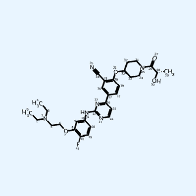 CCN(CC)CCOc1cc(Nc2nccc(-c3ccc(OC4CCN(C(=O)[C@H](C)O)CC4)c(C#N)c3)n2)ccc1F